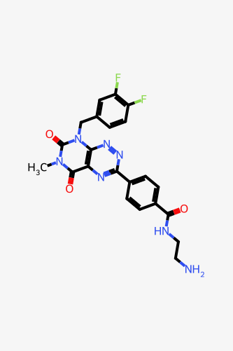 Cn1c(=O)c2nc(-c3ccc(C(=O)NCCN)cc3)nnc2n(Cc2ccc(F)c(F)c2)c1=O